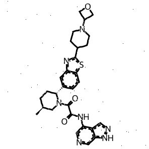 C[C@H]1CC[C@H](c2ccc3sc(C4CCN(C5COC5)CC4)nc3c2)N(C(=O)C(=O)Nc2cncc3[nH]ncc23)C1